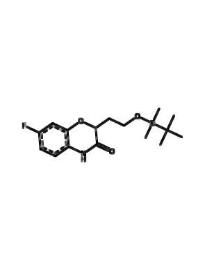 CC(C)(C)[Si](C)(C)OCCC1Oc2cc(F)ccc2NC1=O